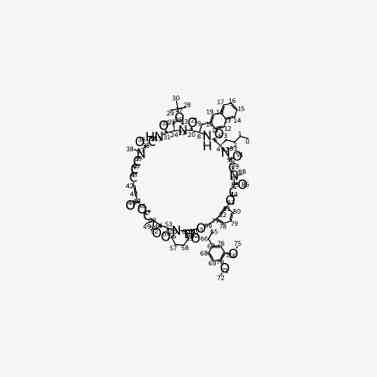 CCCC[C@@H]1C(=O)NC(Cc2ccc3ccccc3c2)C(=O)N(C)[C@H](COC(C)(C)C)C(=O)NCC(=O)N(C)CCC/C=C\C(=O)OCC(C)(C)C(=O)C(=O)N2CCCC[C@@H]2C(=O)O[C@@H](CCc2ccc(OC)c(OC)c2)c2cccc(c2)OCC(=O)N(C)CC(=O)N1C